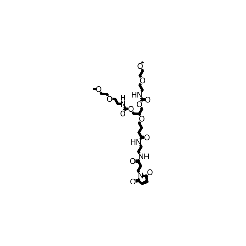 COCCOCCNC(=O)OCC(COC(=O)NCCOCCOC)OCCCC(=O)NCCNC(=O)CCN1C(=O)C=CC1=O